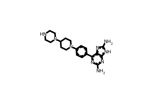 Nc1nc(-c2ccc(N3CCC(N4CCNCC4)CC3)cc2)c2nc(N)[nH]c2n1